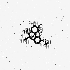 [2H]C([2H])([2H])Oc1ccc2c3c1OC1([2H])C(=O)C([2H])([2H])C[C@@]4([2H])[C@@]([2H])(C2)N(C([2H])([2H])[2H])CC[C@]314